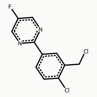 Fc1cnc(-c2ccc(Cl)c(CCl)c2)nc1